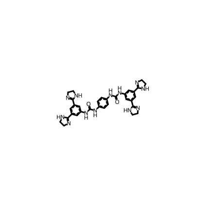 O=C(Nc1ccc(NC(=O)Nc2cc(C3=NCCN3)cc(C3=NCCN3)c2)cc1)Nc1cc(C2=NCCN2)cc(C2=NCCN2)c1